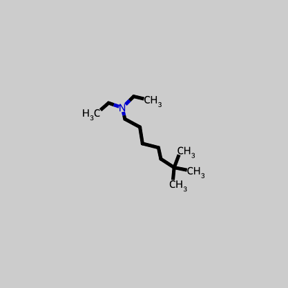 CCN(CC)CCCCCC(C)(C)C